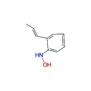 CC=Cc1ccccc1NO